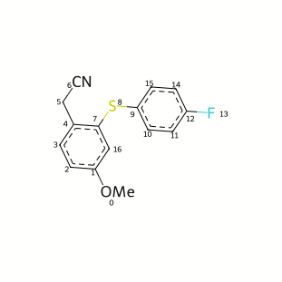 COc1ccc(CC#N)c(Sc2ccc(F)cc2)c1